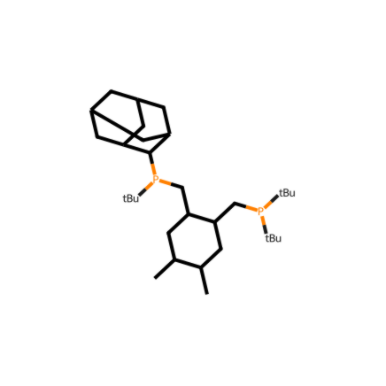 CC1CC(CP(C2C3CC4CC(C3)CC2C4)C(C)(C)C)C(CP(C(C)(C)C)C(C)(C)C)CC1C